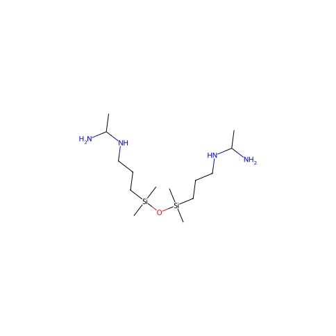 CC(N)NCCC[Si](C)(C)O[Si](C)(C)CCCNC(C)N